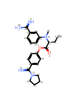 CC(C)C[C@@H](C(=O)Oc1ccc(C(=N)N2CCCC2)cc1)N(C)c1cccc(C(=N)N)c1